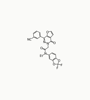 CCN(C(=O)Cn1nc(-c2cccc(C#N)c2)c2occc2c1=O)c1ccc2c(c1)OC(F)(F)O2